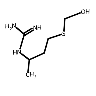 CC(CCSCO)NC(=N)N